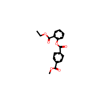 CCOC(=O)c1ccccc1OC(=O)c1ccc(C(=O)OC)cc1